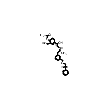 CC(=O)Oc1ccc([C@@H](O)CN[C@H](C)Cc2cccc(COCC(F)(F)c3ccccc3)c2)cc1CO